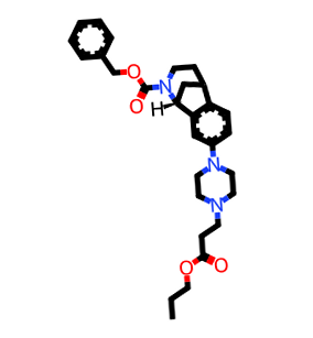 CCCOC(=O)CCN1CCN(c2ccc3c(c2)[C@H]2CC3CCN2C(=O)OCc2ccccc2)CC1